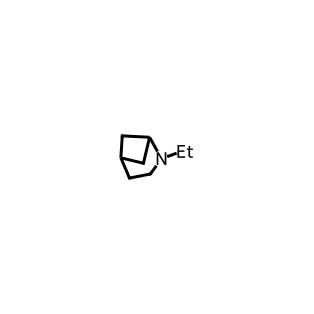 CCN1CCC2CC1C2